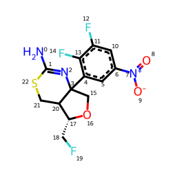 NC1=NC2(c3cc([N+](=O)[O-])cc(F)c3F)CO[C@H](CF)C2CS1